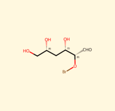 O=C[C@H](OBr)[C@@H](O)C[C@@H](O)CO